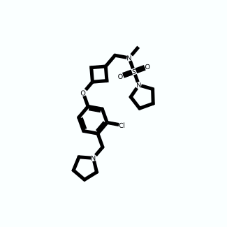 CN(CC1CC(Oc2ccc(CN3CCCC3)c(Cl)c2)C1)S(=O)(=O)N1CCCC1